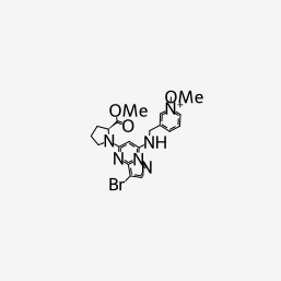 COC(=O)[C@@H]1CCCN1c1cc(NCc2ccc[n+](OC)c2)n2ncc(Br)c2n1